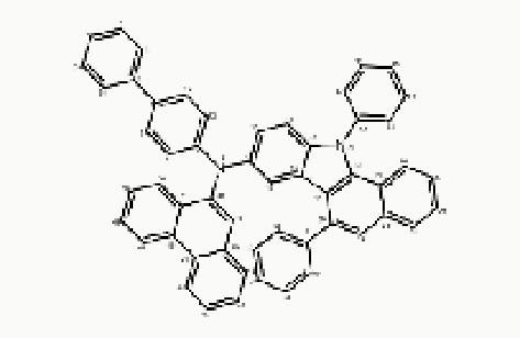 c1ccc(-c2ccc(N(c3ccc4c(c3)c3c(-c5ccccc5)cc5ccccc5c3n4-c3ccccc3)c3cc4ccccc4c4ccccc34)cc2)cc1